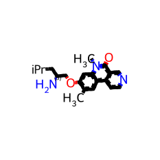 Cc1cc2c3ccncc3c(=O)n(C)c2cc1OC[C@@H](N)CC(C)C